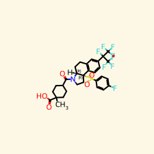 CC1(C(=O)O)CCC(C(=O)N2CC[C@@]3(S(=O)(=O)c4ccc(F)cc4)c4ccc(C(F)(C(F)(F)F)C(F)(F)F)cc4CC[C@@H]23)CC1